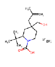 C=C(C)CC1(CO)CCN(C(=O)O)C(C(C)(C)C)C1.[BH4-].[Li+]